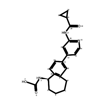 O=C(O)N[C@@H]1CCCCc2cc(-c3ccnc(NC(=O)C4CC4)c3)ccc21